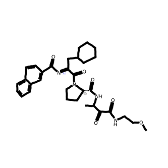 COCCNC(=O)C(=O)C(C)NC(=O)[C@@H]1CCCN1C(=O)/C(CC1CCCCC1)=N/C(=O)c1ccc2ccccc2c1